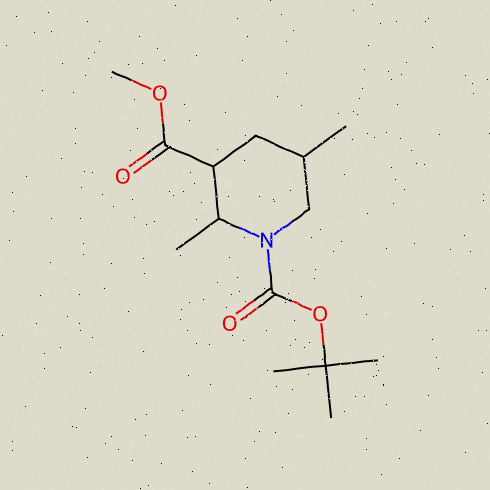 COC(=O)C1CC(C)CN(C(=O)OC(C)(C)C)C1C